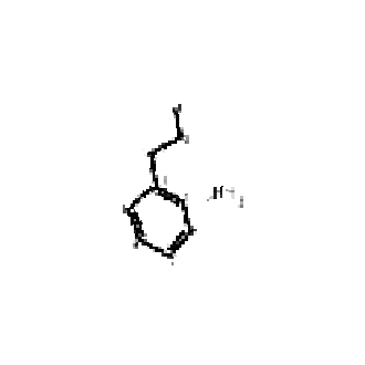 B.CCCc1ccccc1